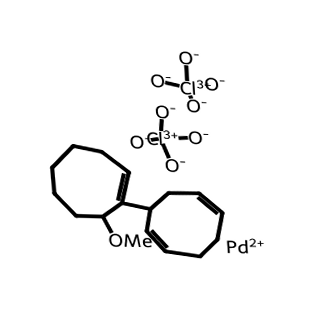 COC1CCCCCC=C1C1C=CCCC=CC1.[O-][Cl+3]([O-])([O-])[O-].[O-][Cl+3]([O-])([O-])[O-].[Pd+2]